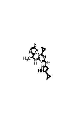 CC(Nc1nc(Nc2cc(C3CC3)[nH]n2)nc(C2CC2)n1)c1ncc(F)cn1